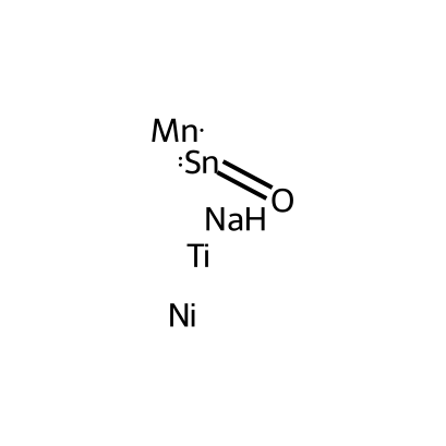 [Mn].[NaH].[Ni].[O]=[Sn].[Ti]